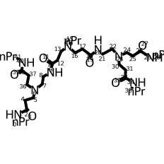 CCCNC(=O)CCN(CCNC(=O)CCN(CCC)CCC(=O)NCCN(CCC(=O)NCCC)CCC(=O)NCCC)CCC(=O)NCCC